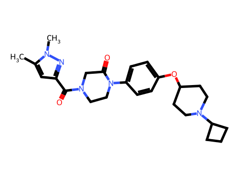 Cc1cc(C(=O)N2CCN(c3ccc(OC4CCN(C5CCC5)CC4)cc3)C(=O)C2)nn1C